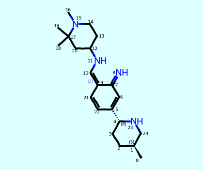 C[C@H]1CC[C@H](C2=CC(=N)/C(=C\NC3CCN(C)C(C)(C)C3)C=C2)NC1